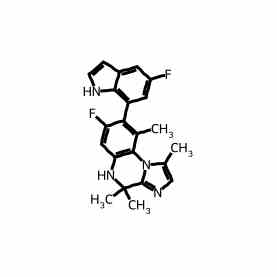 Cc1c(-c2cc(F)cc3cc[nH]c23)c(F)cc2c1-n1c(C)cnc1C(C)(C)N2